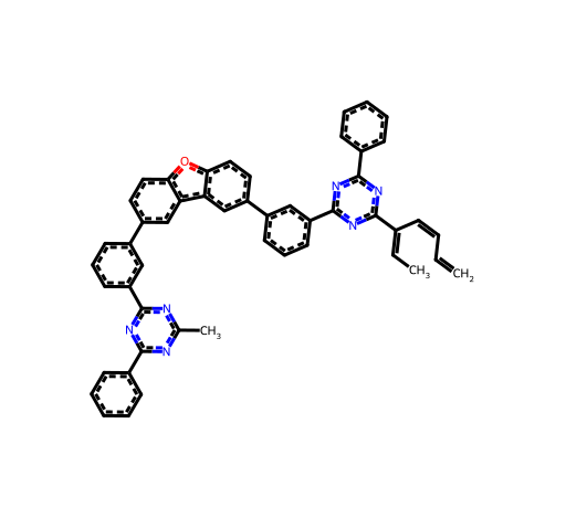 C=C/C=C\C(=C/C)c1nc(-c2ccccc2)nc(-c2cccc(-c3ccc4oc5ccc(-c6cccc(-c7nc(C)nc(-c8ccccc8)n7)c6)cc5c4c3)c2)n1